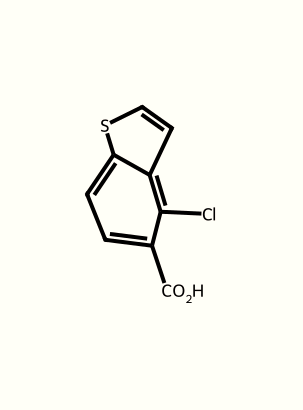 O=C(O)c1ccc2sccc2c1Cl